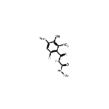 CCCCNC(=O)NC(=O)c1c(Cl)cc(OC)c(O)c1[N+](=O)[O-]